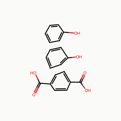 O=C(O)c1ccc(C(=O)O)cc1.Oc1ccccc1.Oc1ccccc1